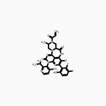 C=CC(=O)N1CC2C(=O)Nc3c(Cl)c(-c4c(O)ccc(F)c4F)nc4c3c(nc(=O)n4-c3c(C)ccnc3C(C)C)N2CC1C